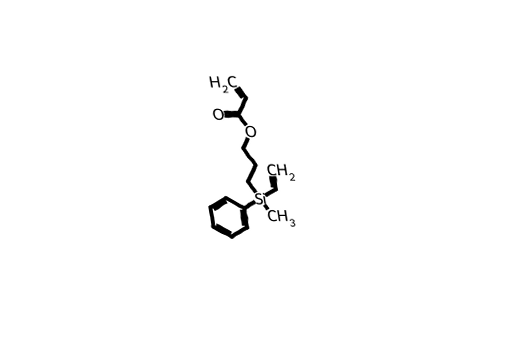 C=CC(=O)OCCC[Si](C)(C=C)c1ccccc1